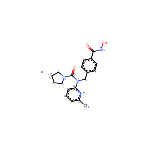 O=C(NO)c1ccc(CN(C(=O)N2CC[C@H](F)C2)c2cccc(C(F)(F)F)n2)cc1